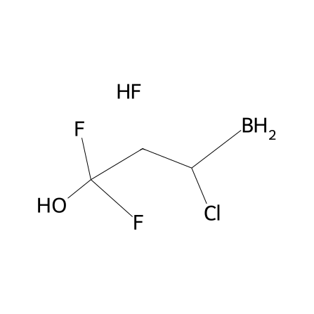 BC(Cl)CC(O)(F)F.F